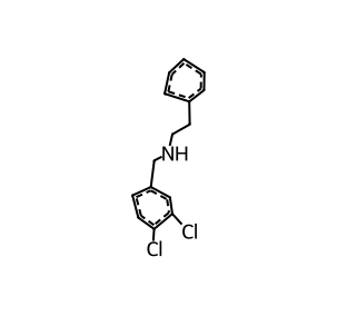 Clc1ccc(CNCCc2ccccc2)cc1Cl